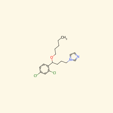 CCCCCOC(CCCn1ccnc1)c1ccc(Cl)cc1Cl